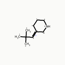 CC(C)(C)/C=C1\CCCNC1